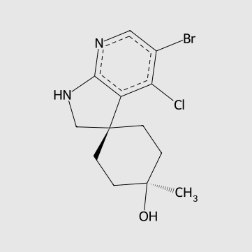 C[C@]1(O)CC[C@@]2(CC1)CNc1ncc(Br)c(Cl)c12